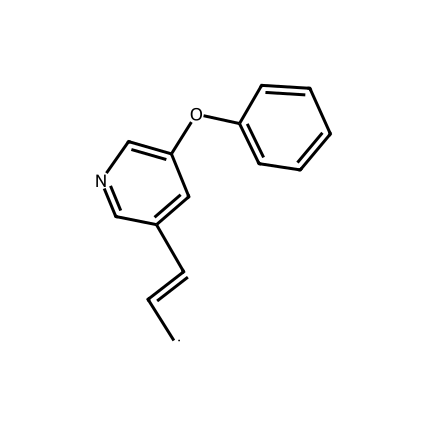 [CH2]/C=C/c1cncc(Oc2ccccc2)c1